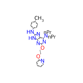 CCCN(CCC)c1nc(OCCOc2ccccn2)nc2[nH]c(Nc3ccc(C)cc3)nc12